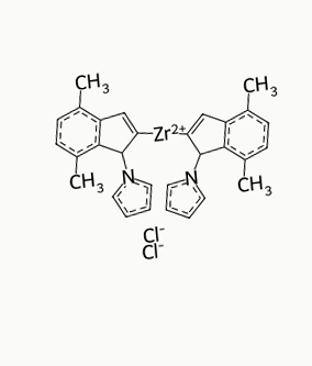 Cc1ccc(C)c2c1C=[C]([Zr+2][C]1=Cc3c(C)ccc(C)c3C1n1cccc1)C2n1cccc1.[Cl-].[Cl-]